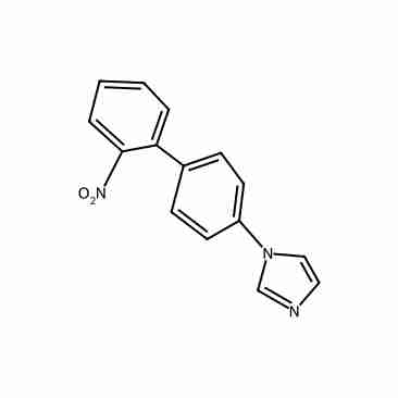 O=[N+]([O-])c1ccccc1-c1ccc(-n2ccnc2)cc1